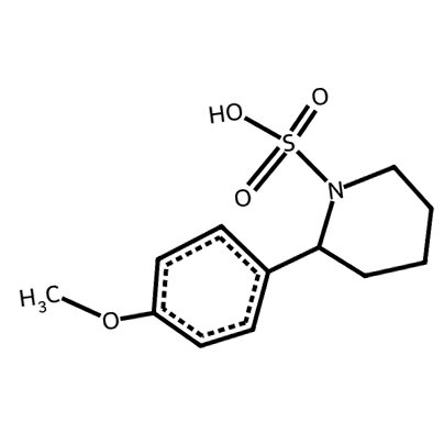 COc1ccc(C2CCCCN2S(=O)(=O)O)cc1